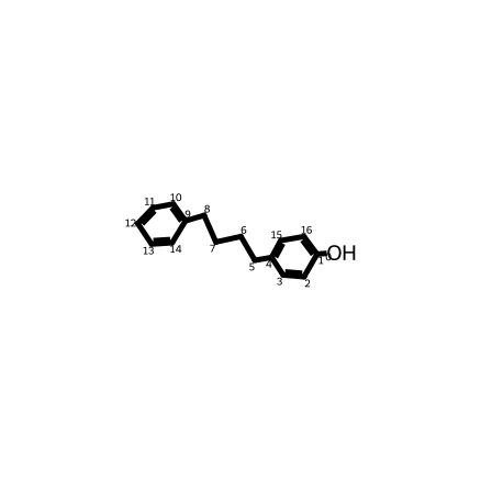 Oc1ccc(CCCCc2ccccc2)cc1